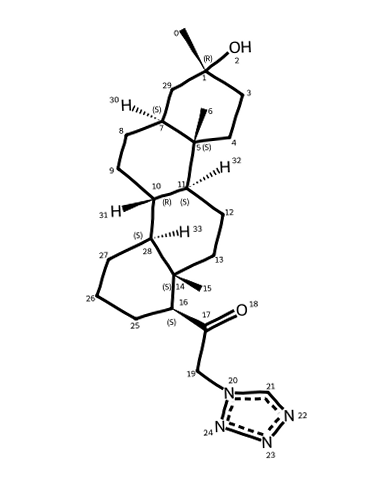 C[C@@]1(O)CC[C@@]2(C)[C@@H](CC[C@@H]3[C@@H]2CC[C@]2(C)[C@@H](C(=O)Cn4cnnn4)CCC[C@@H]32)C1